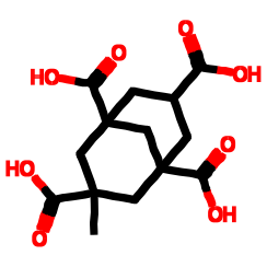 CC1(C(=O)O)CC2(C(=O)O)CC(C(=O)O)CC(C(=O)O)(C1)C2